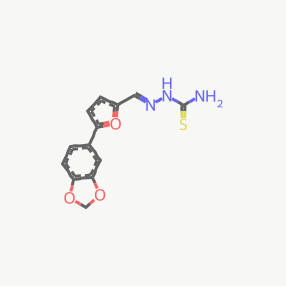 NC(=S)NN=Cc1ccc(-c2ccc3c(c2)OCO3)o1